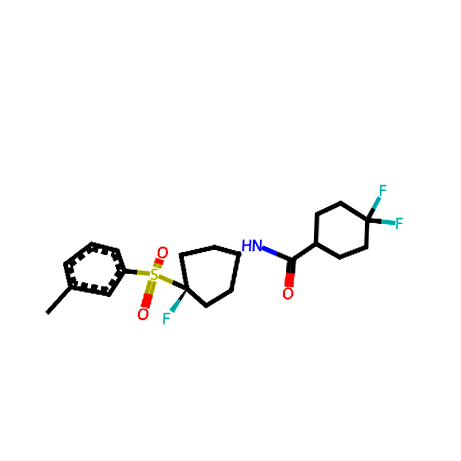 Cc1cccc(S(=O)(=O)[C@]2(F)CC[C@H](NC(=O)C3CCC(F)(F)CC3)CC2)c1